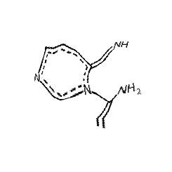 C=C(N)n1cnccc1=N